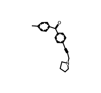 Cc1ccc(C(=O)c2ccc(C#CCN3CCCC3)cc2)cc1